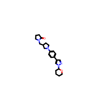 O=C1CCCN1CC1CCN(c2ccc(-c3cnn(C4CCCCO4)c3)cc2)C1